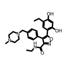 CCNC(=O)c1noc(-c2cc(CC)c(O)cc2O)c1-c1ccc(CN2CCN(C)CC2)cc1